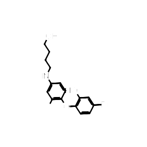 CCc1ccc(Oc2ccc(NCCCCO)cc2F)c(O)c1